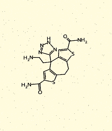 NCCC1(c2nn[nH]n2)c2cc(C(N)=O)sc2CCc2sc(C(N)=O)cc21